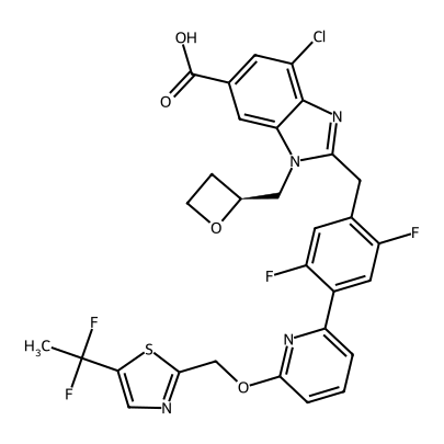 CC(F)(F)c1cnc(COc2cccc(-c3cc(F)c(Cc4nc5c(Cl)cc(C(=O)O)cc5n4C[C@@H]4CCO4)cc3F)n2)s1